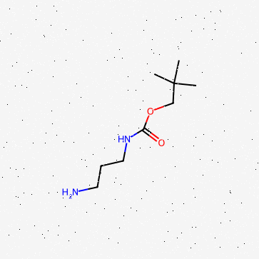 CC(C)(C)COC(=O)NCCCN